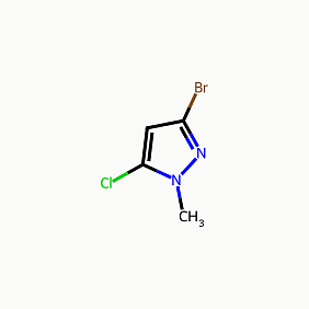 Cn1nc(Br)cc1Cl